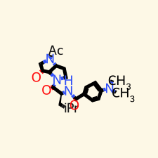 CC(=O)N1CC(=O)C2C1CCN2C(=O)[C@H](CC(C)C)NC(=O)c1ccc(N(C)C)cc1